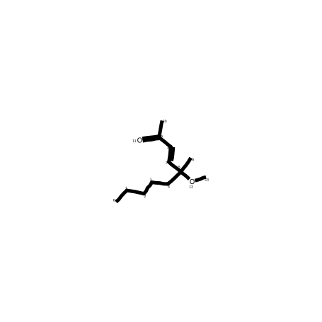 CCCCCC(C)(C=CC(C)=O)OC